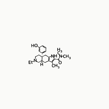 CCN1CC[C@@]2(c3cccc(O)c3)Cc3[nH]c(C(=O)N(C)C)c(C)c3C[C@@H]2C1